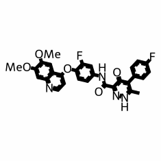 COc1cc2nccc(Oc3ccc(NC(=O)c4n[nH]c(C)c(-c5ccc(F)cc5)c4=O)cc3F)c2cc1OC